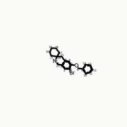 Brc1cc2c(cc1OCc1ccccc1)CC1(CCCCC1)N=C2